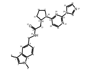 Cc1cn(C)c2ccc(CNC(=O)C[C@H]3CCCN3c3ccnc(-n4ccnc4)n3)cc12